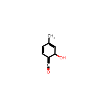 CC1=CC(O)C(=C=O)C=C1